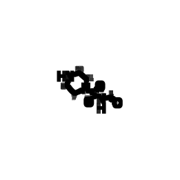 O=CNS(=O)(=O)N1CCNCC1